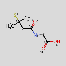 CC(C)(S)CC(=O)NCC(=O)O